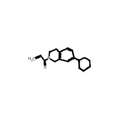 C=CC(=O)N1CCc2ccc(C3CCCCC3)cc2C1